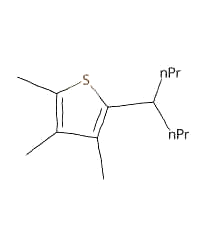 CCCC(CCC)c1sc(C)c(C)c1C